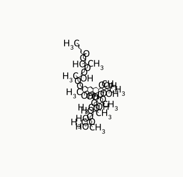 C/C=C/C=C/C(=O)OC[C@H](O)C(C)OCOC[C@H](O)C(C)OCOc1cc2cc3c(c(O)c2c(O)c1C)C(=O)[C@@H](O[C@H]1CC(OC(C)OC(C)[C@H](O)COC2OC(C)[C@@H](O)C2(C)O)[C@H](O)C(C)O1)[C@H]([C@H](OC)C(=O)[C@@H](O)[C@@H](C)O)C3